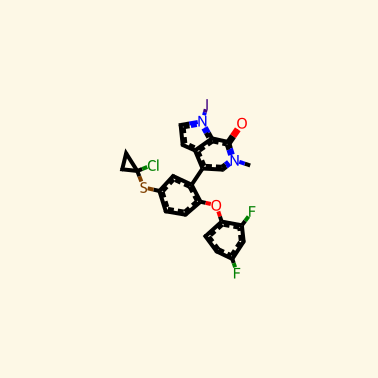 Cn1cc(-c2cc(SC3(Cl)CC3)ccc2Oc2ccc(F)cc2F)c2ccn(I)c2c1=O